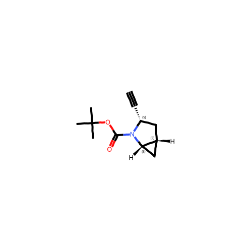 C#C[C@@H]1C[C@@H]2C[C@@H]2N1C(=O)OC(C)(C)C